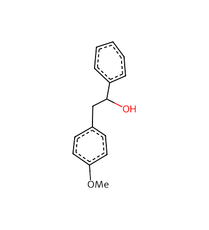 COc1ccc(CC(O)c2ccccc2)cc1